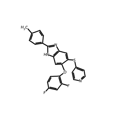 Cc1ccc(-c2nc3cc(Sc4ccncc4)c(Oc4ccc(F)cc4F)cc3[nH]2)cc1